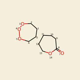 C1CCOOOC1.O=C1CCCCCO1